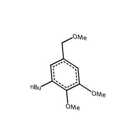 CCCCc1cc(COC)cc(OC)c1OC